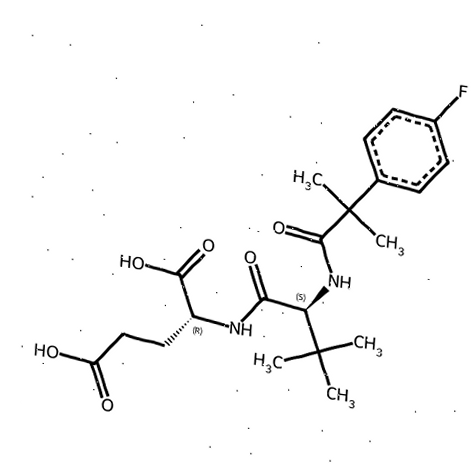 CC(C)(C(=O)N[C@H](C(=O)N[C@H](CCC(=O)O)C(=O)O)C(C)(C)C)c1ccc(F)cc1